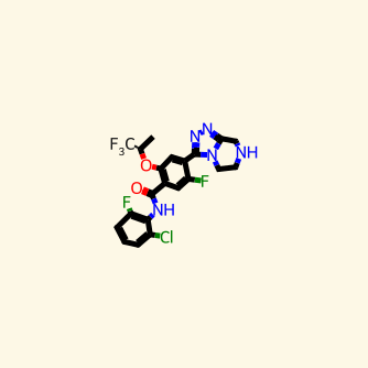 C[C@H](Oc1cc(-c2nnc3n2CCNC3)c(F)cc1C(=O)Nc1c(F)cccc1Cl)C(F)(F)F